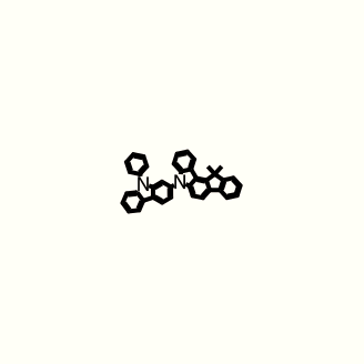 CC1(C)C2=C(C=C=C=C2)c2ccc3c(c21)c1ccccc1n3-c1ccc2c3ccccc3n(-c3ccccc3)c2c1